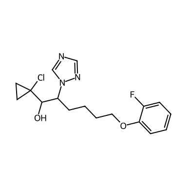 OC(C(CCCCOc1ccccc1F)n1cncn1)C1(Cl)CC1